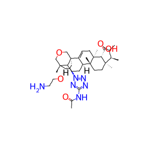 CC(=O)Nc1nnn([C@@H]2C[C@@]34COC[C@](C)([C@@H]3CC[C@H]3C4=CC[C@@]4(C)[C@H](C(=O)O)[C@@](C)([C@H](C)C(C)C)CC[C@]34C)[C@H]2OCCN)n1